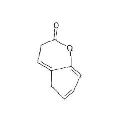 O=C1CC=C2CC=CC=C2O1